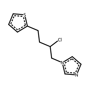 ClC(CCc1cccs1)Cn1ccnc1